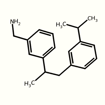 CC(C)c1cccc(CC(C)c2cccc(CN)c2)c1